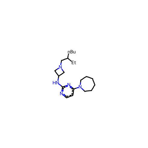 CCCCC(CC)CN1CC(Nc2nccc(N3CCCCCC3)n2)C1